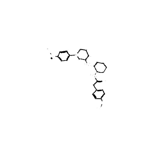 COc1ccc(CC(=O)N[C@@H]2CCCC[C@H]2NC2CCCN(c3ccc([N+](=O)[O-])cc3)C2)cc1